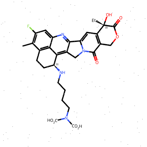 CC[C@@]1(O)C(=O)OCc2c1cc1n(c2=O)Cc2c-1nc1cc(F)c(C)c3c1c2[C@@H](NCCCCN(C(=O)O)C(=O)O)CC3